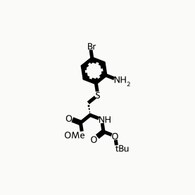 COC(=O)[C@H](CSc1ccc(Br)cc1N)NC(=O)OC(C)(C)C